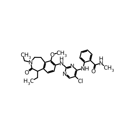 CCC1C(=O)N(CC)CCc2c1ccc(Nc1ncc(Cl)c(Nc3ccccc3C(=O)NC)n1)c2OC